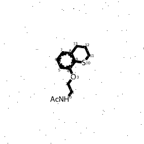 CC(=O)NCCOc1cccc2c1SCCC2